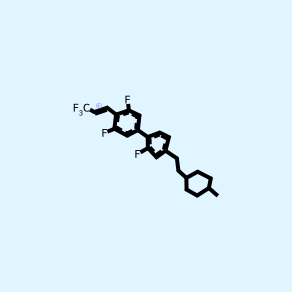 CC1CCC(CCc2ccc(-c3cc(F)c(/C=C/C(F)(F)F)c(F)c3)c(F)c2)CC1